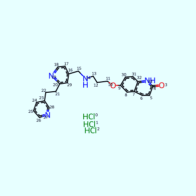 Cl.Cl.Cl.O=c1ccc2cc(OCCCNCc3ccnc(CCc4cccnc4)c3)ccc2[nH]1